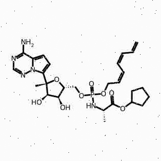 C=C/C=C\C=C/COP(=O)(N[C@@H](C)C(=O)OC1CCCC1)OC[C@H]1O[C@@](C)(c2ccc3c(N)ncnn23)[C@H](O)[C@@H]1O